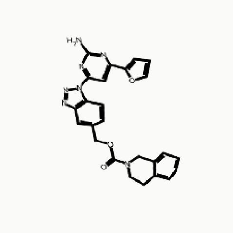 Nc1nc(-c2ccco2)cc(-n2nnc3cc(COC(=O)N4CCc5ccccc5C4)ccc32)n1